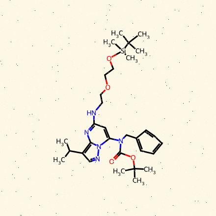 CC(C)c1cnn2c(N(Cc3ccccc3)C(=O)OC(C)(C)C)cc(NCCOCCO[Si](C)(C)C(C)(C)C)nc12